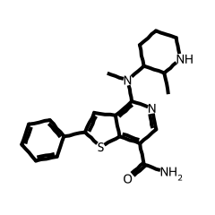 CC1NCCCC1N(C)c1ncc(C(N)=O)c2sc(-c3ccccc3)cc12